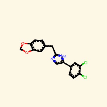 Clc1ccc(-c2cnc(Cc3ccc4c(c3)OCO4)[nH]2)cc1Cl